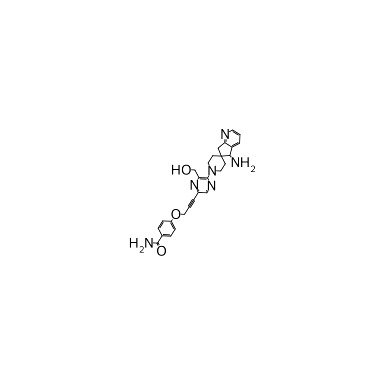 NC(=O)c1ccc(OCC#Cc2cnc(N3CCC4(CC3)Cc3ncccc3[C@H]4N)c(CO)n2)cc1